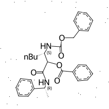 CCCC[C@H](NC(=O)OCc1ccccc1)C(OC(=O)c1ccccc1)C(=O)N[C@H](C)c1ccccc1